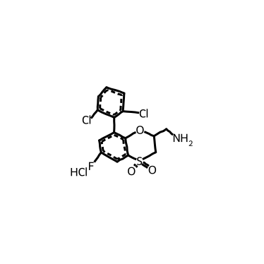 Cl.NCC1CS(=O)(=O)c2cc(F)cc(-c3c(Cl)cccc3Cl)c2O1